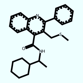 CSCc1c(-c2ccccc2)nc2ccccc2c1C(=O)NC(C)C1CCCCC1